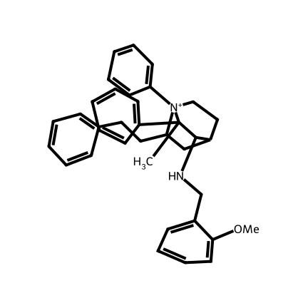 COc1ccccc1CNC1C2CC[N+](c3ccccc3)(C(CCc3ccccc3)C2)C1(C)c1ccccc1